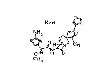 CON=C(C(=O)NC1C(=O)N2CC(C=Cc3cncs3)(C(=O)O)CS[C@H]12)c1csc(N)n1.[NaH]